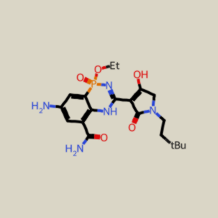 CCOP1(=O)N=C(C2=C(O)CN(CCC(C)(C)C)C2=O)Nc2c(C(N)=O)cc(N)cc21